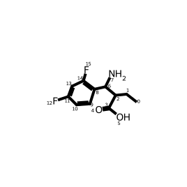 CCC(C(=O)O)C(N)c1ccc(F)cc1F